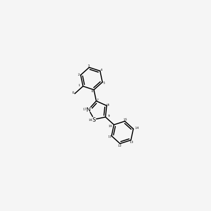 Cc1ccccc1-c1[c]c(-c2ccccc2)sn1